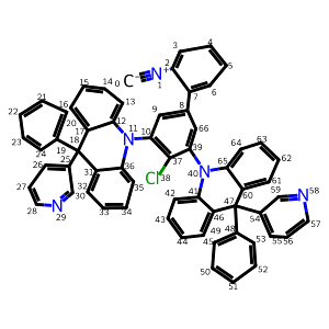 [C-]#[N+]c1ccccc1-c1cc(N2c3ccccc3C(c3ccccc3)(c3cccnc3)c3ccccc32)c(Cl)c(N2c3ccccc3C(c3ccccc3)(c3cccnc3)c3ccccc32)c1